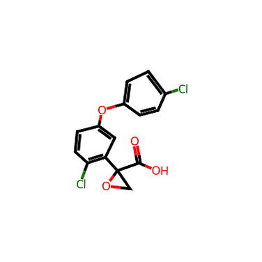 O=C(O)C1(c2cc(Oc3ccc(Cl)cc3)ccc2Cl)CO1